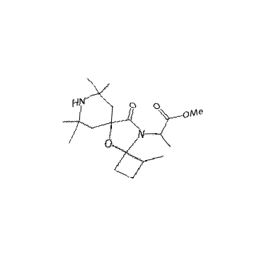 COC(=O)C(C)N1C(=O)C2(CC(C)(C)NC(C)(C)C2)OC12CCC2C